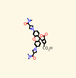 CN(C)C(=O)C1CN(c2ccc3c(c2)Oc2cc(N4CC(C(=O)N(C)C)C4)ccc2C32OC(=O)c3ccc(C(=O)O)cc32)C1